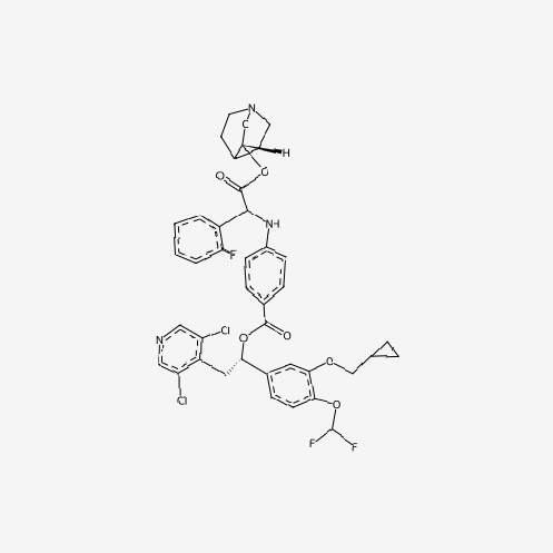 O=C(O[C@@H](Cc1c(Cl)cncc1Cl)c1ccc(OC(F)F)c(OCC2CC2)c1)c1ccc(NC(C(=O)O[C@H]2CN3CCC2CC3)c2ccccc2F)cc1